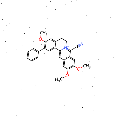 COc1cc2cc3[n+](c(C#N)c2cc1OC)CCc1cc(OC)c(-c2ccccc2)cc1-3